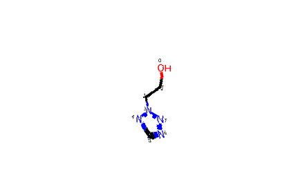 OCCn1n[c]nn1